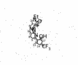 CCN1C[C@H](Cn2cc3ccc(-c4c(C)cc(C(F)(F)F)cc4O)nc3n2)C(F)(F)C1=O